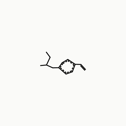 C=Cc1ccc(CC(C)CC)cc1